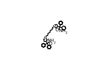 NC(=O)C(c1ccccc1)(c1ccccc1)C1CCN(CCCCCCCN2CCC(C(C(N)=O)(c3ccccc3)C3C=CC=CC3)C2)C1